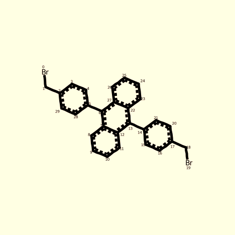 BrCc1ccc(-c2c3ccccc3c(-c3ccc(CBr)cc3)c3ccccc23)cc1